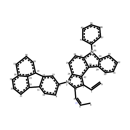 C=Cc1c(/C=C\C)n(-c2ccc3c(c2)-c2cccc4cccc-3c24)c2ccc3c(c4ccccc4n3-c3ccccc3)c12